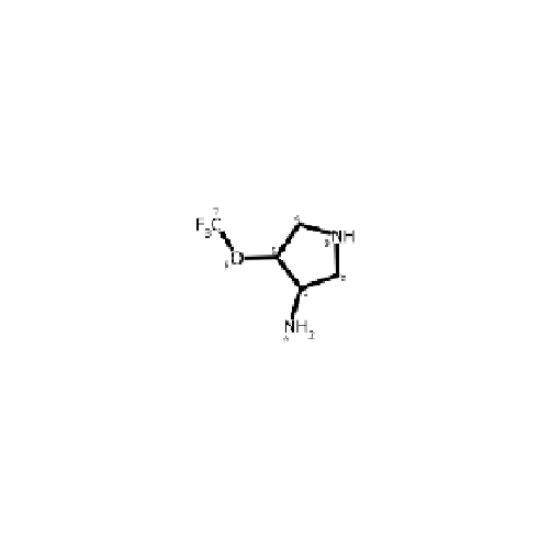 NC1CNCC1OC(F)(F)F